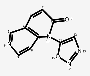 O=c1ccc2cnccc2n1-c1cnno1